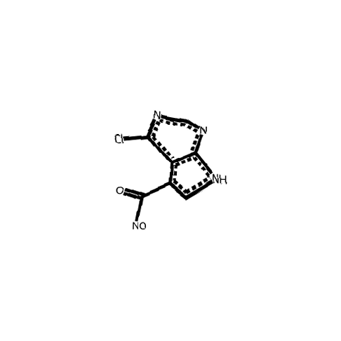 O=NC(=O)c1c[nH]c2ncnc(Cl)c12